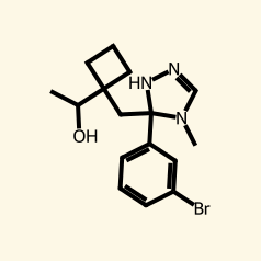 CC(O)C1(CC2(c3cccc(Br)c3)NN=CN2C)CCC1